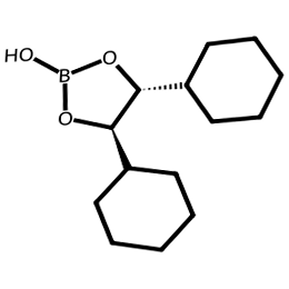 OB1O[C@H](C2CCCCC2)[C@@H](C2CCCCC2)O1